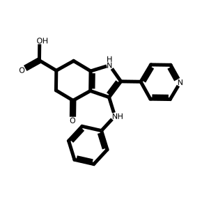 O=C1CC(C(=O)O)Cc2[nH]c(-c3ccncc3)c(Nc3ccccc3)c21